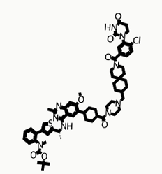 COc1cc2nc(C)nc(N[C@H](C)c3cc(-c4ccccc4N(C)C(=O)OC(C)(C)C)cs3)c2cc1C1CCC(C(=O)N2CCN(CC3CCC4(CC3)CCN(C(=O)c3ccc(Cl)c(N5CCC(=O)NC5=O)c3)CC4)CC2)CC1